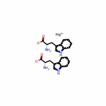 N[C@@H](Cc1c[nH]c2ccccc12)C(=O)[O-].N[C@@H](Cc1c[nH]c2ccccc12)C(=O)[O-].[Mg+2]